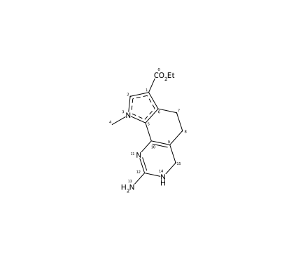 CCOC(=O)c1cn(C)c2c1CCC1=C2N=C(N)NC1